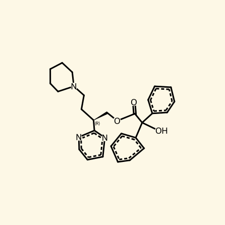 O=C(OC[C@H](CCN1CCCCC1)c1ncccn1)C(O)(c1ccccc1)c1ccccc1